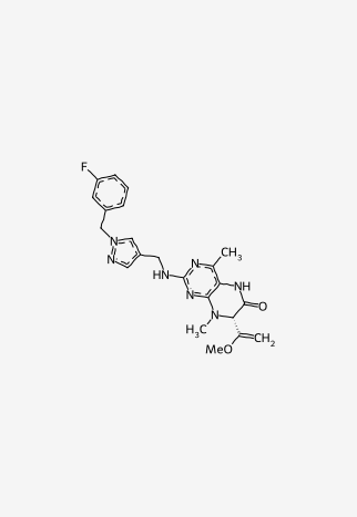 C=C(OC)[C@H]1C(=O)Nc2c(C)nc(NCc3cnn(Cc4cccc(F)c4)c3)nc2N1C